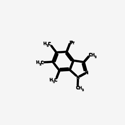 Cc1c(C)c(C)c2c(c(C)nn2C)c1C(C)C